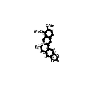 COc1ccc2cc3[n+](cc2c1OC)CCc1cc2c(cc1-3)OCO2.[Br-]